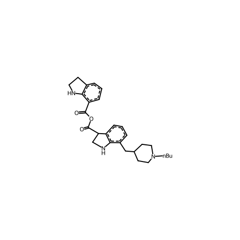 CCCCN1CCC(Cc2cccc3c2NCC3C(=O)OC(=O)c2cccc3c2NCC3)CC1